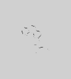 CN1C(C#N)=C(C#N)NC1c1ccc2ccc3cccnc3c2n1